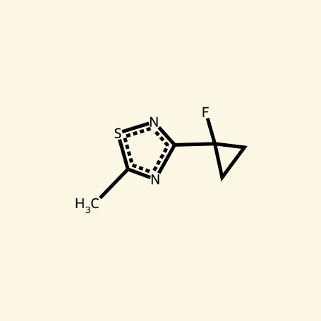 Cc1nc(C2(F)CC2)ns1